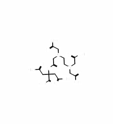 O=C(O)CN(CCN(CC(=O)O)CC(=O)OC(CC(=O)O)(CC(=O)O)C(=O)O)CC(=O)O